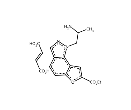 CCOC(=O)c1cc2c(ccc3cnn(CC(C)N)c32)o1.O=C(O)C=CC(=O)O